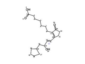 O=C(O)CCCCCCC1=C(/C=C/C(O)CC2CCCC2)CCC1=O